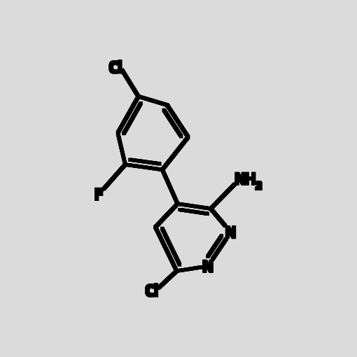 Nc1nnc(Cl)cc1-c1ccc(Cl)cc1F